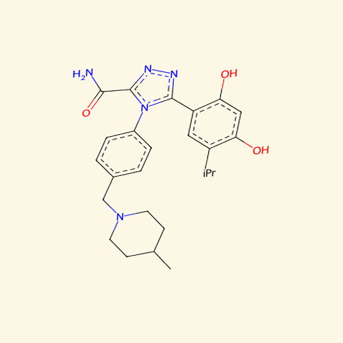 CC1CCN(Cc2ccc(-n3c(C(N)=O)nnc3-c3cc(C(C)C)c(O)cc3O)cc2)CC1